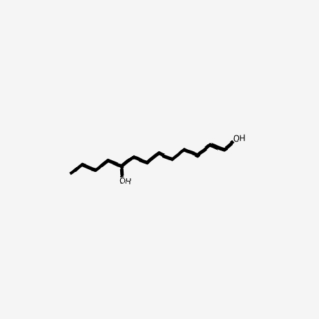 CCCCC(O)CCCCCCCCO